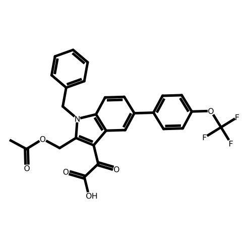 CC(=O)OCc1c(C(=O)C(=O)O)c2cc(-c3ccc(OC(F)(F)F)cc3)ccc2n1Cc1ccccc1